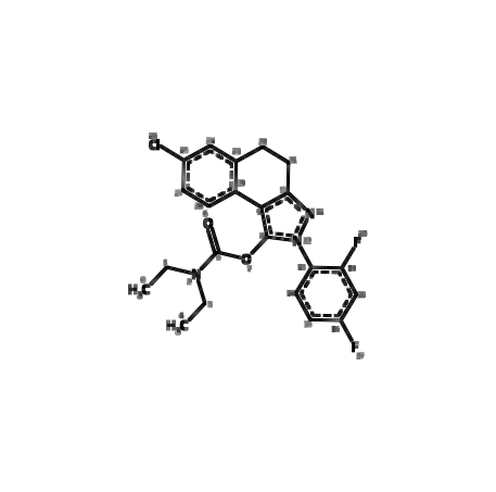 CCN(CC)C(=O)Oc1c2c(nn1-c1ccc(F)cc1F)CCc1cc(Cl)ccc1-2